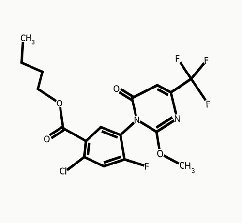 CCCCOC(=O)c1cc(-n2c(OC)nc(C(F)(F)F)cc2=O)c(F)cc1Cl